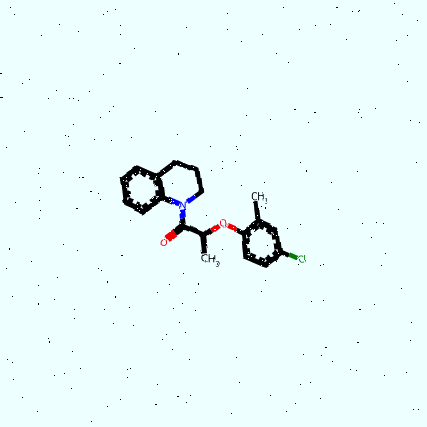 Cc1cc(Cl)ccc1OC(C)C(=O)N1CCCc2ccccc21